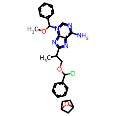 C1CC2CC1O2.COC(c1ccccc1)n1cnc(N)c2nc(C(C)COC(Cl)c3ccccc3)nc1-2